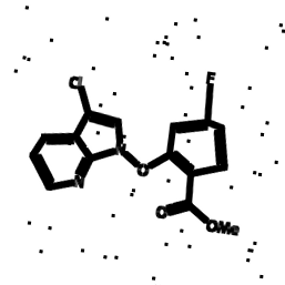 COC(=O)c1ccc(F)cc1On1cc(Cl)c2cccnc21